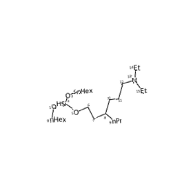 CCCCCCO[SiH](OCCCCCC)OCCC(CCC)CCCN(CC)CC